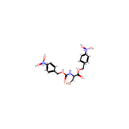 O=C(NC(CS)C(=O)OCc1ccc([N+](=O)[O-])cc1)OCc1ccc([N+](=O)[O-])cc1